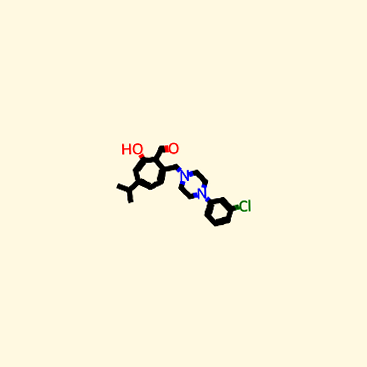 CC(C)C1=CC=C(CN2CCN(c3cccc(Cl)c3)CC2)C(C=O)C(O)=C1